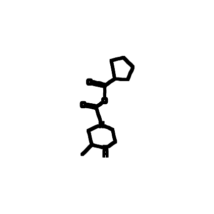 CC1CN(C(=O)OC(=O)C2CCCC2)CCN1